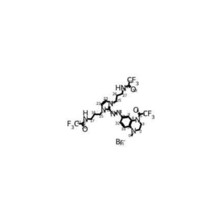 CN1CCN(C(=O)C(F)(F)F)c2cc(/N=N/c3n(CCCNC(=O)C(F)(F)F)cc[n+]3CCCNC(=O)C(F)(F)F)ccc21.[Br-]